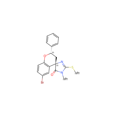 CCCSC1=N[C@]2(C[C@@H](c3ccccc3)Oc3ccc(Br)cc32)C(=O)N1CCC